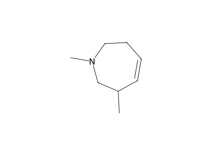 CC1C=CCCN(C)C1